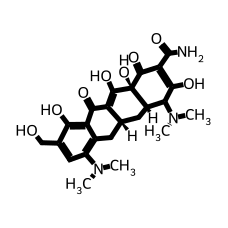 CN(C)c1cc(CO)c(O)c2c1C[C@H]1C[C@H]3C(N(C)C)C(O)=C(C(N)=O)C(=O)[C@@]3(O)C(O)=C1C2=O